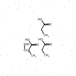 CCC(=O)O.CCC(=O)O.CCC(=O)O.[CH3][SnH]